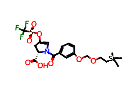 C[Si](C)(C)CCOCOc1cccc(C(=O)N2C=C(OS(=O)(=O)C(F)(F)F)C[C@H]2C(=O)O)c1